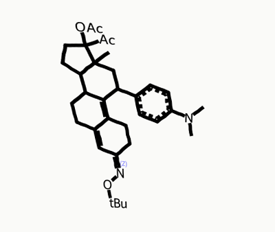 CC(=O)OC1(C(C)=O)CCC2C3CCC4=C/C(=N\OC(C)(C)C)CCC4=C3C(c3ccc(N(C)C)cc3)CC21C